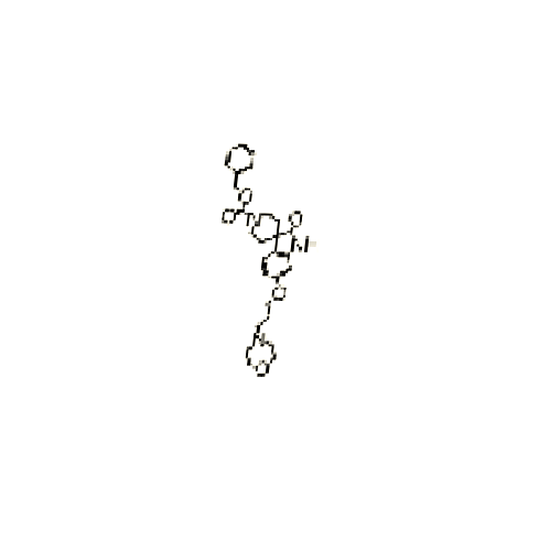 O=C(OCc1ccccc1)N1CCC2(CC1)C(=O)Nc1cc(OCCCN3CCOCC3)ccc12